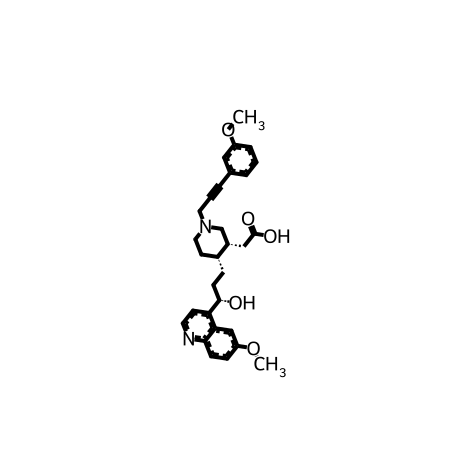 COc1cccc(C#CCN2CC[C@@H](CC[C@H](O)c3ccnc4ccc(OC)cc34)[C@@H](CC(=O)O)C2)c1